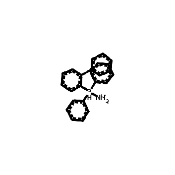 N[PH](c1ccccc1)(c1ccccc1)c1ccccc1-c1ccccc1